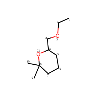 CCOCC1CCCC(C)(C)O1